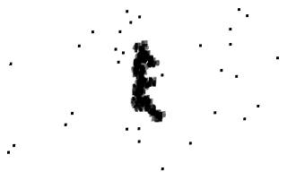 CN(C)Cc1cc(OC2CCN([C@H]3C[C@@](CC#N)(n4cc(-c5ncnc6c5ccn6COCC[Si](C)(C)C)cn4)C3)CC2)cc(C(F)F)c1